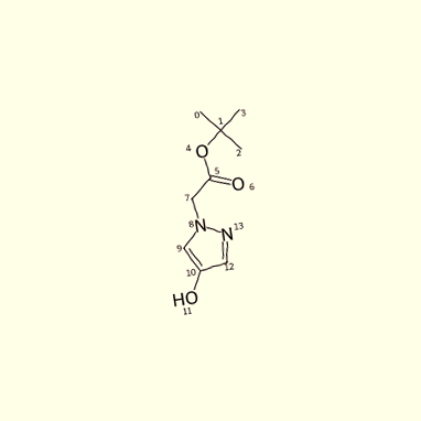 CC(C)(C)OC(=O)Cn1cc(O)cn1